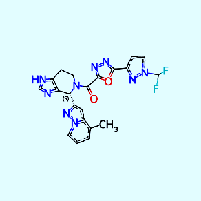 Cc1cccn2nc([C@@H]3c4nc[nH]c4CCN3C(=O)c3nnc(-c4ccn(C(F)F)n4)o3)cc12